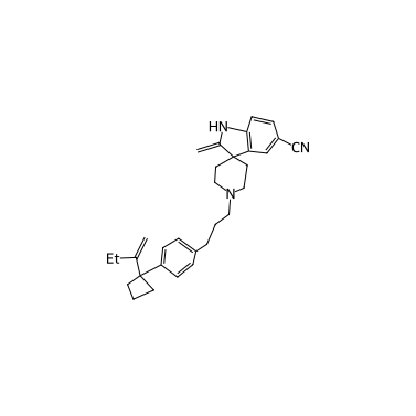 C=C(CC)C1(c2ccc(CCCN3CCC4(CC3)C(=C)Nc3ccc(C#N)cc34)cc2)CCC1